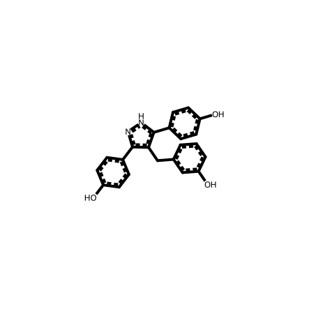 Oc1ccc(-c2n[nH]c(-c3ccc(O)cc3)c2Cc2cccc(O)c2)cc1